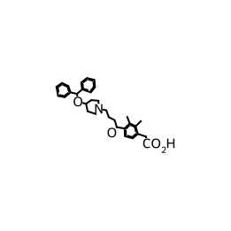 Cc1c(CC(=O)O)ccc(C(=O)CCCN2CCC(OC(c3ccccc3)c3ccccc3)CC2)c1C